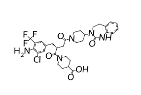 Nc1c(Cl)cc(C[C@@H](CC(=O)N2CCC(N3CCc4ccccc4NC3=O)CC2)C(=O)N2CCC(C(=O)O)CC2)cc1C(F)(F)F